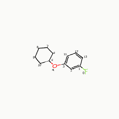 Fc1[c]c(OC2CCCCC2)ccc1